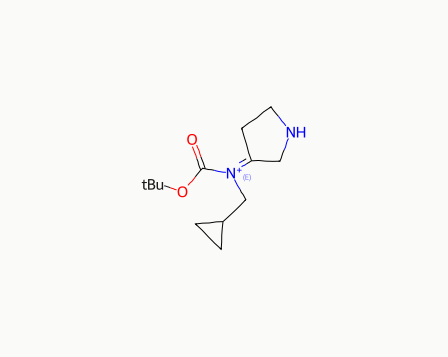 CC(C)(C)OC(=O)/[N+](CC1CC1)=C1\CCNC1